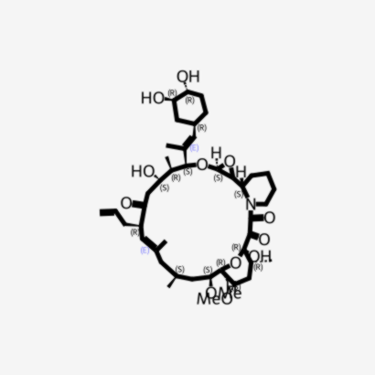 C=CC[C@@H]1/C=C(\C)C[C@H](C)C[C@H](OC)[C@H]2O[C@@](O)(C(=O)C(=O)N3CCCC[C@H]3C3O[C@@H]3O[C@H](/C(C)=C/[C@@H]3CC[C@@H](O)[C@H](O)C3)[C@H](C)[C@@H](O)CC1=O)[C@H](C)C[C@@H]2OC